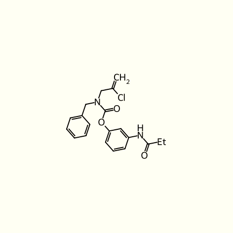 C=C(Cl)CN(Cc1ccccc1)C(=O)Oc1cccc(NC(=O)CC)c1